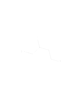 CC(=O)CCC(C)CO